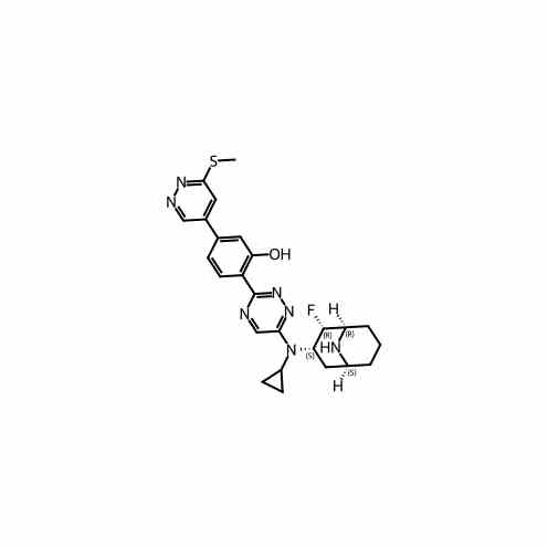 CSc1cc(-c2ccc(-c3ncc(N(C4CC4)[C@H]4C[C@@H]5CCC[C@@H](N5)[C@H]4F)nn3)c(O)c2)cnn1